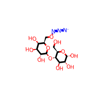 [N-]=[N+]=NOC[C@H]1O[C@@H](O[C@H]2[C@H](O)[C@@H](O)[C@@H](O)O[C@@H]2CO)[C@H](O)[C@@H](O)[C@H]1O